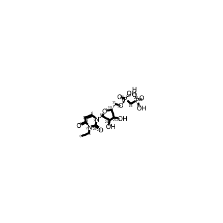 CCn1c(=O)ccn([C@@H]2O[C@H](COP(=O)(O)CP(=O)(O)O)C(O)C2O)c1=O